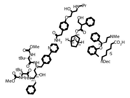 CC(C)NCC(O)COc1ccc(CC(N)=O)cc1.CCCCCCCCCCCCCCCC(=O)O.CN1[C@@H]2CC[C@H]1C[C@@H](OC(=O)C(CO)c1ccccc1)C2.CNCC[C@@H](Oc1ccccc1C)c1ccccc1.COC(=O)N[C@H](C(=O)N[C@@H](Cc1ccccc1)[C@@H](O)CN(Cc1ccc(-c2ccccn2)cc1)NC(=O)[C@@H](NC(=O)OC)C(C)(C)C)C(C)(C)C.[S]